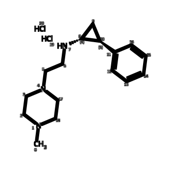 CN1CCN(CCN[C@@H]2C[C@H]2c2ccccc2)CC1.Cl.Cl